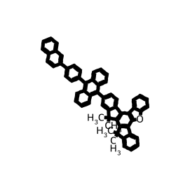 CC1(C)c2ccccc2-c2c1c1c(c3c2oc2ccccc23)-c2ccc(-c3c4ccccc4c(-c4ccc(-c5ccc6ccccc6c5)cc4)c4ccccc34)cc2C1(C)C